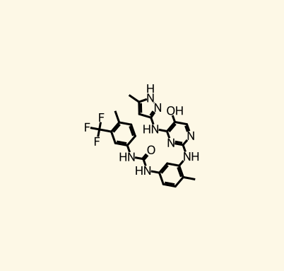 Cc1cc(Nc2nc(Nc3cc(NC(=O)Nc4ccc(C)c(C(F)(F)F)c4)ccc3C)ncc2O)n[nH]1